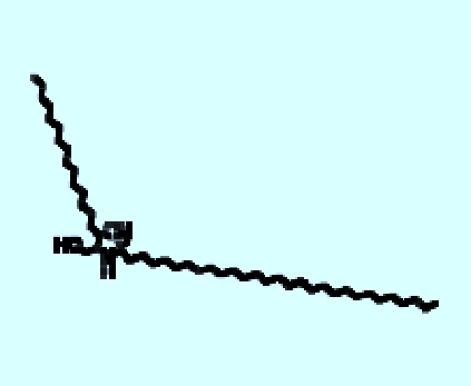 CCCCCCCCCCCCCCCCCCCCCCCCCCCCC(=O)NC(CO)C(O)CCCCCCCCCCCCCCC